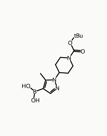 Cc1c(B(O)O)cnn1C1CCN(C(=O)OC(C)(C)C)CC1